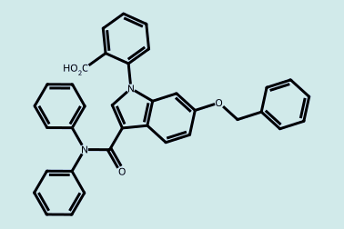 O=C(O)c1ccccc1-n1cc(C(=O)N(c2ccccc2)c2ccccc2)c2ccc(OCc3ccccc3)cc21